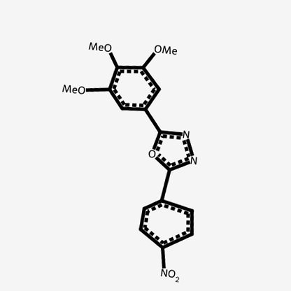 COc1cc(-c2nnc(-c3ccc([N+](=O)[O-])cc3)o2)cc(OC)c1OC